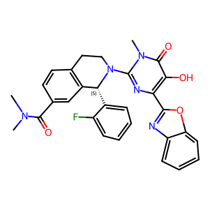 CN(C)C(=O)c1ccc2c(c1)[C@@H](c1ccccc1F)N(c1nc(-c3nc4ccccc4o3)c(O)c(=O)n1C)CC2